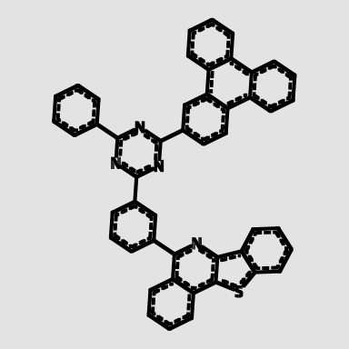 c1ccc(-c2nc(-c3cccc(-c4nc5c6ccccc6sc5c5ccccc45)c3)nc(-c3ccc4c5ccccc5c5ccccc5c4c3)n2)cc1